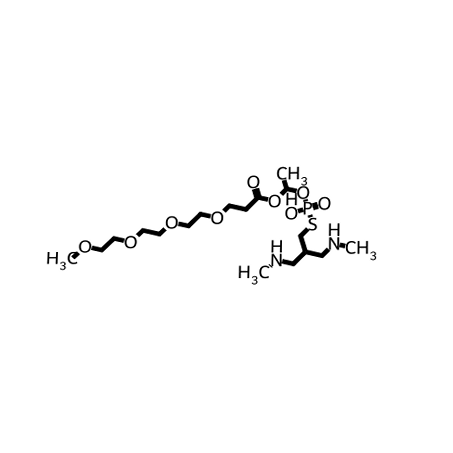 CNCC(CNC)CSP(=O)(O)OC(C)OC(=O)CCOCCOCCOCCOC